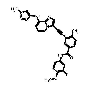 COc1ccc(NC(=O)c2ccc(C)c(C#Cc3cnc4c(Nc5cnn(C)c5)cccn34)c2)cc1F